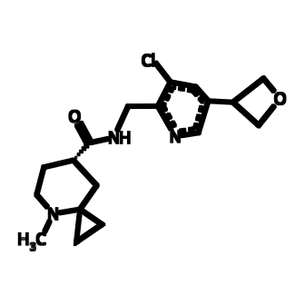 CN1CC[C@H](C(=O)NCc2ncc(C3COC3)cc2Cl)CC12CC2